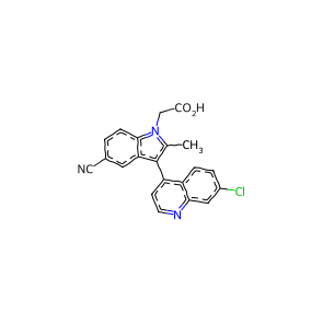 Cc1c(-c2ccnc3cc(Cl)ccc23)c2cc(C#N)ccc2n1CC(=O)O